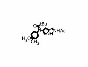 CC(=O)NC[C@@H]1C[C@H](N(C(=O)C(C)(C)C)C2CCC(C)(C)CC2)CN1